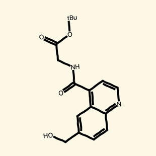 CC(C)(C)OC(=O)CNC(=O)c1ccnc2ccc(CO)cc12